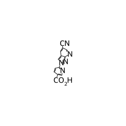 N#Cc1cnc2nn(-c3ccc(C(=O)O)cn3)cc2c1